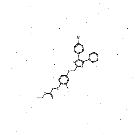 CCOC(=O)COc1ccc(OCc2nc(-c3ccc(Br)cc3)c(-c3ccccc3)s2)cc1C